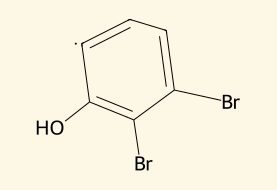 Oc1[c]ccc(Br)c1Br